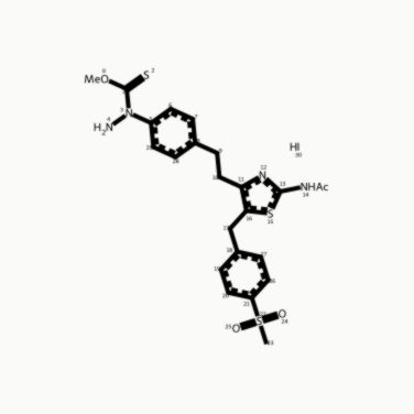 COC(=S)N(N)c1ccc(CCc2nc(NC(C)=O)sc2Cc2ccc(S(C)(=O)=O)cc2)cc1.I